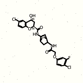 O=C(COc1ccc(Cl)c(F)c1)NC1CC2OC1CC2NC(=O)[C@@H]1C[C@@H](O)c2cc(Cl)ccc2O1